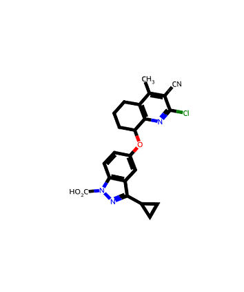 Cc1c(C#N)c(Cl)nc2c1CCCC2Oc1ccc2c(c1)c(C1CC1)nn2C(=O)O